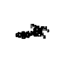 Cc1nn(C)c2nc(C(C)C)cc(C(=O)NCc3ccc(S(=O)(=O)N4CCOCC4)cc3)c12